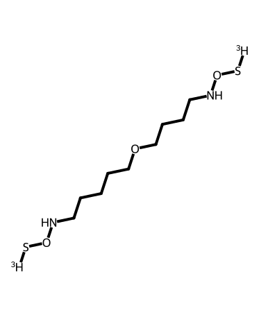 [3H]SONCCCCCOCCCCNOS[3H]